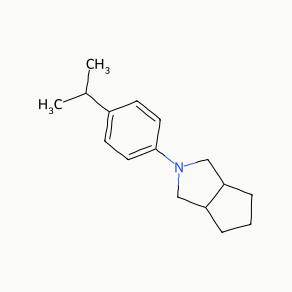 CC(C)c1ccc(N2CC3CCCC3C2)cc1